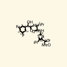 CCC[C@H](NC(=O)C(O)c1cc(F)cc(F)c1)C(=O)Nc1nc(C(=O)OC)c(C(C)C)s1